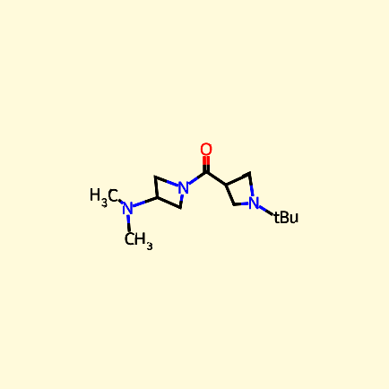 CN(C)C1CN(C(=O)C2CN(C(C)(C)C)C2)C1